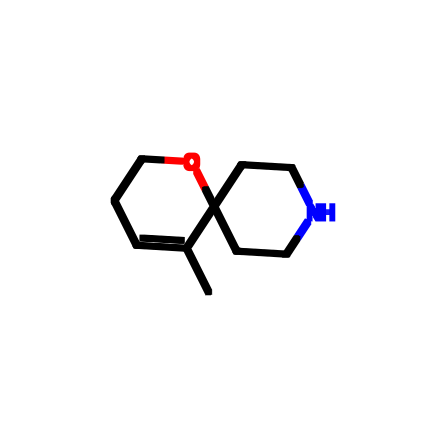 CC1=CCCOC12CCNCC2